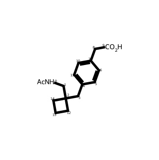 CC(=O)NCC1(Cc2ccc(CC(=O)O)cc2)CCC1